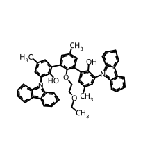 CCOCCOc1c(-c2cc(C)cc(-n3c4ccccc4c4ccccc43)c2O)cc(C)cc1-c1cc(C)cc(-n2c3ccccc3c3ccccc32)c1O